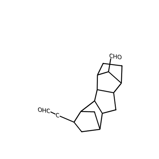 O=CCC1CC2CC1C1C2CC2C3CCC(C3C=O)C21